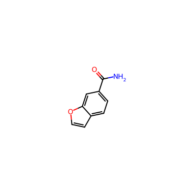 NC(=O)c1ccc2ccoc2c1